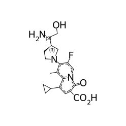 Cc1c(N2CC[C@@H]([C@H](N)CO)C2)c(F)cn2c(=O)c(C(=O)O)cc(C3CC3)c12